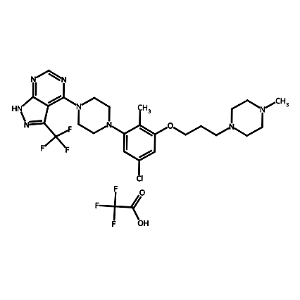 Cc1c(OCCCN2CCN(C)CC2)cc(Cl)cc1N1CCN(c2ncnc3[nH]nc(C(F)(F)F)c23)CC1.O=C(O)C(F)(F)F